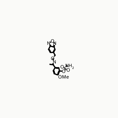 COc1ccc(/C(C)=N/OCc2ccc3nonc3c2)cc1OS(N)(=O)=O